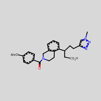 COc1ccc(C(=O)N2CCc3c(cccc3C(CCc3cn(C)nn3)CC(=O)O)C2)cc1